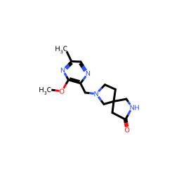 COc1nc(C)cnc1CN1CCC2(CNC(=O)C2)C1